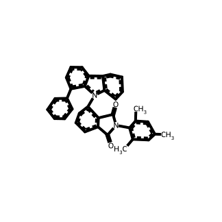 Cc1cc(C)c(N2C(=O)c3cccc(-n4c5ccccc5c5cccc(-c6ccccc6)c54)c3C2=O)c(C)c1